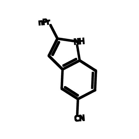 CCCc1cc2cc(C#N)ccc2[nH]1